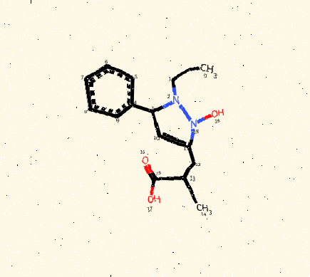 CCN1C(c2ccccc2)C=C(CC(C)C(=O)O)N1O